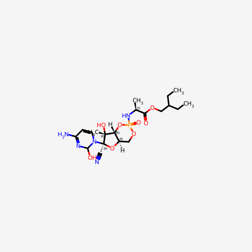 CCC(CC)COC(=O)[C@H](C)NP1(=O)OC[C@H]2O[C@@](C#N)(N3C=CC(N)=NC3O)[C@](C)(O)[C@@H]2O1